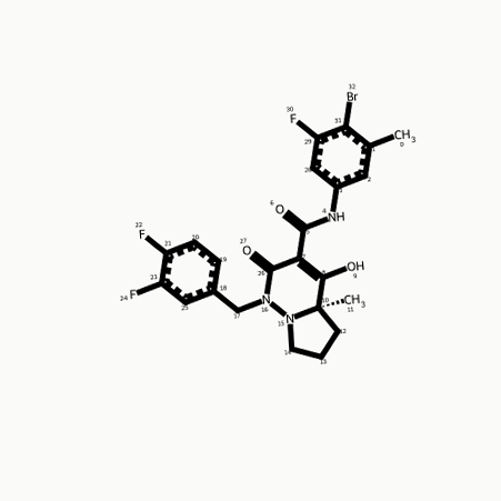 Cc1cc(NC(=O)C2=C(O)[C@@]3(C)CCCN3N(Cc3ccc(F)c(F)c3)C2=O)cc(F)c1Br